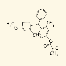 COc1ccc(C(c2ccccc2)c2ccc(OC(=O)C(C)=O)cc2C)c(C)c1